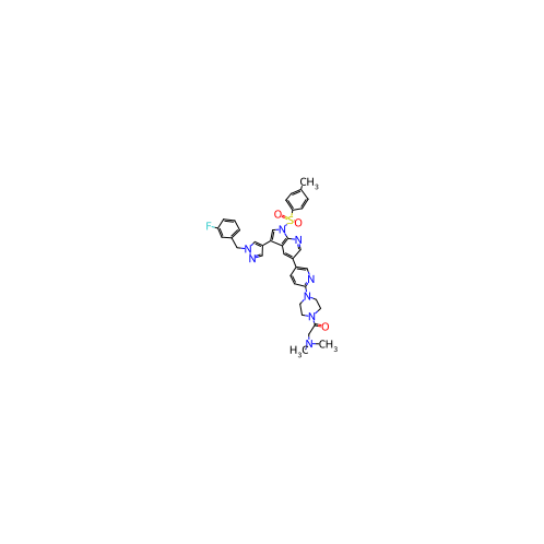 Cc1ccc(S(=O)(=O)n2cc(-c3cnn(Cc4cccc(F)c4)c3)c3cc(-c4ccc(N5CCN(C(=O)CN(C)C)CC5)nc4)cnc32)cc1